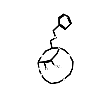 CCOC(=O)C1=C(O)C2CCCCCCCCCCCN(C1)C(COCc1ccccc1)CC2